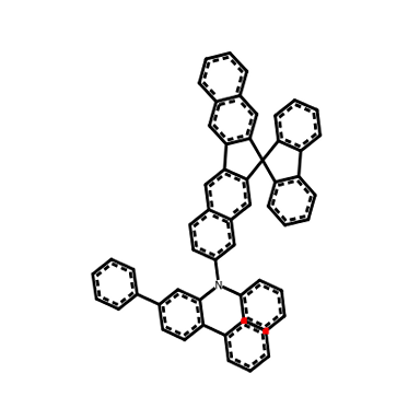 c1ccc(-c2ccc(-c3ccccc3)c(N(c3ccccc3)c3ccc4cc5c(cc4c3)C3(c4ccccc4-c4ccccc43)c3cc4ccccc4cc3-5)c2)cc1